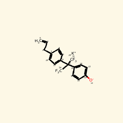 C=CCc1ccc(C(c2ccc([O-])cc2)(C(F)(F)F)C(F)(F)F)cc1.[K+]